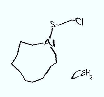 Cl[S][Al]1[CH2]CCC[CH2]1.[CaH2]